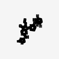 C=CCn1c(=O)c2cnc(Nc3cnn(C)c3)nc2n1-c1cccc(O[C@@H]2C[C@@H]3CC[C@H]2CN3)n1